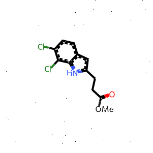 COC(=O)CCc1cc2ccc(Cl)c(Cl)c2[nH]1